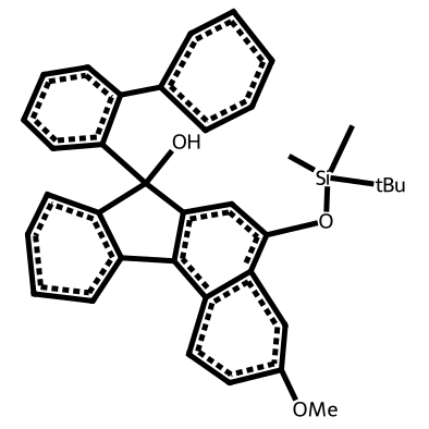 COc1ccc2c3c(cc(O[Si](C)(C)C(C)(C)C)c2c1)C(O)(c1ccccc1-c1ccccc1)c1ccccc1-3